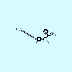 CCCCCCCCCOc1ccc(C(C)CCC(CC)c2ccccn2)cc1F